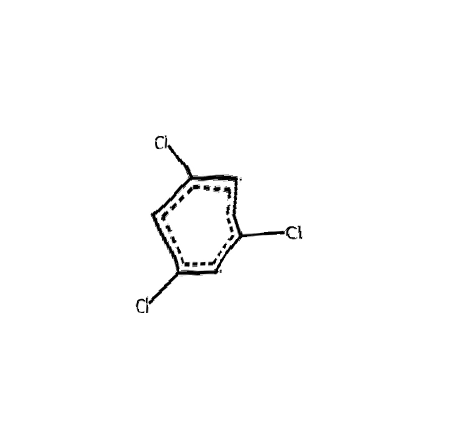 Clc1[c]c(Cl)cc(Cl)[c]1